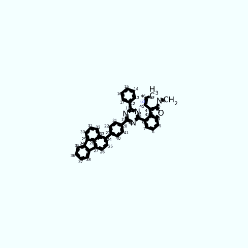 C=Nc1oc2cccc(-c3nc(-c4ccccc4)nc(-c4ccc(-c5ccc6c7c(cccc57)-c5ccccc5-6)cc4)n3)c2c1/C=C\C